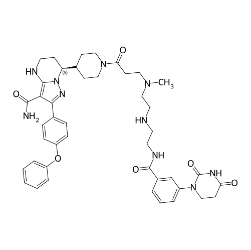 CN(CCNCCNC(=O)c1cccc(N2CCC(=O)NC2=O)c1)CCC(=O)N1CCC([C@@H]2CCNc3c(C(N)=O)c(-c4ccc(Oc5ccccc5)cc4)nn32)CC1